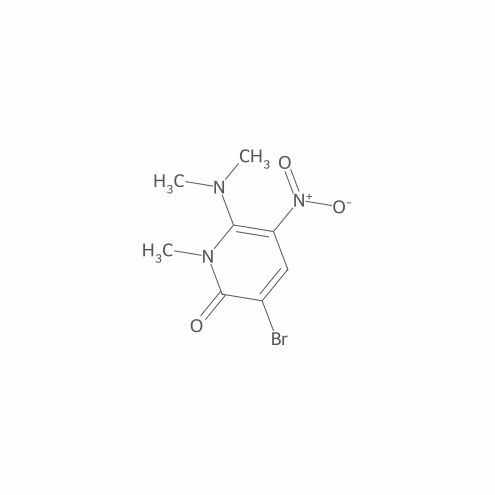 CN(C)c1c([N+](=O)[O-])cc(Br)c(=O)n1C